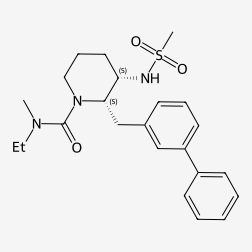 CCN(C)C(=O)N1CCC[C@H](NS(C)(=O)=O)[C@@H]1Cc1cccc(-c2ccccc2)c1